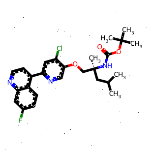 CC(C)C[C@@](C)(COc1cnc(-c2ccnc3cc(F)ccc23)cc1Cl)NC(=O)OC(C)(C)C